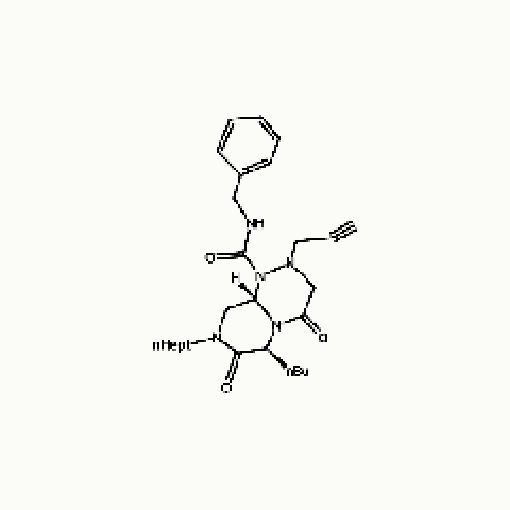 C#CCN1CC(=O)N2[C@@H](CCCC)C(=O)N(CCCCCCC)C[C@@H]2N1C(=O)NCc1ccccc1